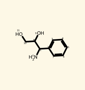 NC(c1ccccc1)C(O)CO